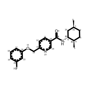 C[C@H]1CC[C@@H](C)[C@H](NC(=O)c2ccc(COc3cccc(F)c3)nc2)C1